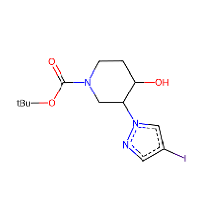 CC(C)(C)OC(=O)N1CCC(O)C(n2cc(I)cn2)C1